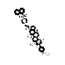 CC1(C)C(c2ccc(C(=O)O)cc2)=CC[C@@]2(C)C1CC[C@@]1(C)C3CC[C@@]4(NCCN5CCN(S(=O)(=O)c6cccc7ccccc67)CC5)CCCC4[C@H]3CCC12